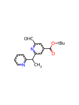 CC(c1ccccn1)c1cc(C(=O)OC(C)(C)C)cc(C=O)n1